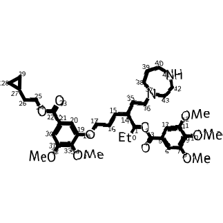 CCC(OC(=O)c1cc(OC)c(OC)c(OC)c1)C(CCCOc1cc(C(=O)OCCC2CC2)cc(OC)c1OC)CCN1CCCNCC1